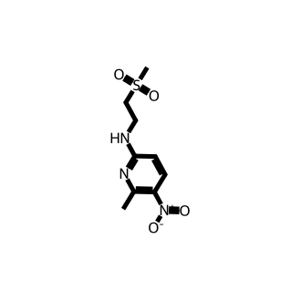 Cc1nc(NCCS(C)(=O)=O)ccc1[N+](=O)[O-]